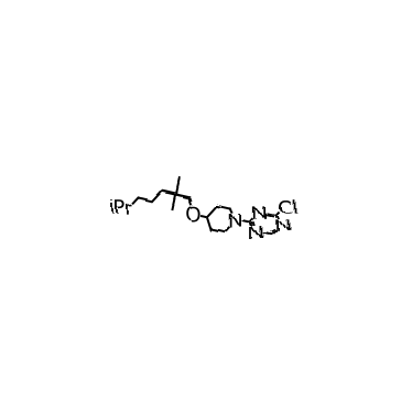 CC(C)CCCC(C)(C)COC1CCN(c2ncnc(Cl)n2)CC1